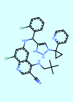 CC(C)(C)CNc1c(C#N)cnc2c(Cl)cc(NC(C3=CN(C4(c5ccccn5)CC4)NN3)c3ccccc3Cl)cc12